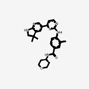 Cc1cc(C(=O)NC2CCOCC2)ccc1Nc1nccc(-c2cnc3c(c2)C(C)(C)CN3)n1